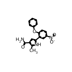 Cc1[nH]c(-c2cc([N+](=O)[O-])ccc2Oc2ccccc2)cc1C(N)=O